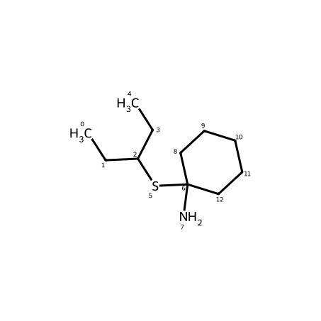 CCC(CC)SC1(N)CCCCC1